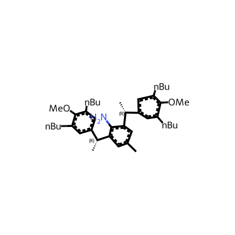 CCCCc1cc([C@@H](C)c2cc(C)cc([C@H](C)c3cc(CCCC)c(OC)c(CCCC)c3)c2N)cc(CCCC)c1OC